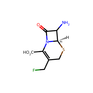 NC1C(=O)N2C(C(=O)O)=C(CF)CS[C@H]12